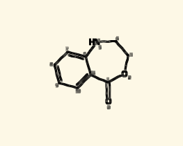 O=C1OCCNc2ccccc21